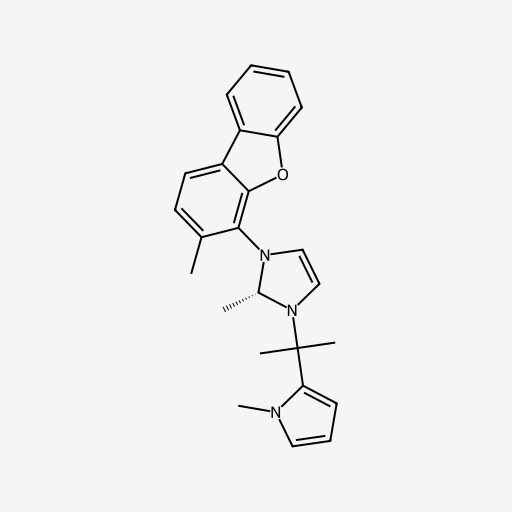 Cc1ccc2c(oc3ccccc32)c1N1C=CN(C(C)(C)c2cccn2C)[C@@H]1C